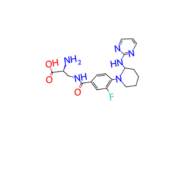 N[C@@H](CNC(=O)c1ccc(N2CCCCC2Nc2ncccn2)c(F)c1)C(=O)O